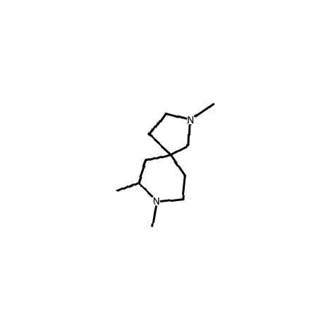 CC1CC2(CCN(C)C2)CCN1C